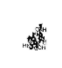 O=C(NC1CC1)c1cc2nc(Cl)c(Cn3c(C(=O)O)c(-c4ccc[nH]c4=O)c4c5occc5c(F)cc43)cc2[nH]1